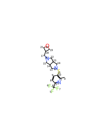 Cc1nc(C(F)(F)F)ccc1SN1CC2CN(CC3COC3)CC2C1